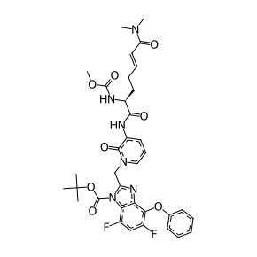 COC(=O)N[C@@H](CC/C=C/C(=O)N(C)C)C(=O)Nc1cccn(Cc2nc3c(Oc4ccccc4)c(F)cc(F)c3n2C(=O)OC(C)(C)C)c1=O